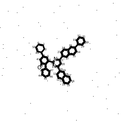 C1=CCC(c2cc(-c3nc(-c4ccc5ccccc5c4)cc(-c4ccc5cc(-c6ccccc6)ccc5c4)n3)c3c(c2)oc2ccccc23)C=C1